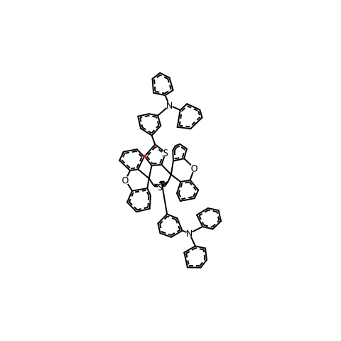 c1ccc(N(c2ccccc2)c2cccc(-c3cc4c(s3)C3(c5ccccc5Oc5ccccc53)c3cc(-c5cccc(N(c6ccccc6)c6ccccc6)c5)sc3C43c4ccccc4Oc4ccccc43)c2)cc1